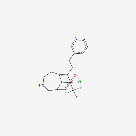 O=C(C1C2=C(CCc3cccnc3)C(Cl)=CC1CNCC2)C(F)(F)F